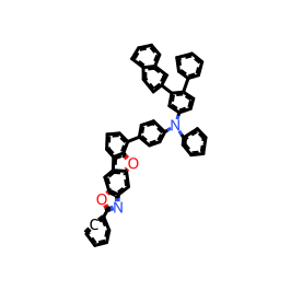 c1ccc(-c2nc3cc4oc5c(-c6ccc(N(c7ccccc7)c7ccc(-c8ccccc8)c(-c8ccc9ccccc9c8)c7)cc6)cccc5c4cc3o2)cc1